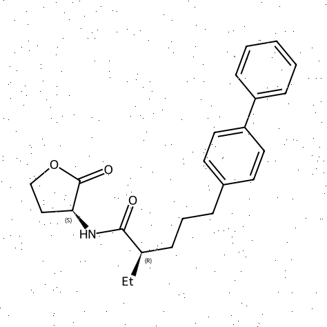 CC[C@H](CCCc1ccc(-c2ccccc2)cc1)C(=O)N[C@H]1CCOC1=O